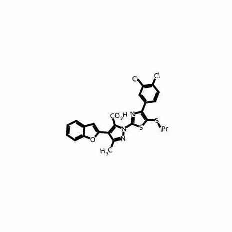 Cc1nn(-c2nc(-c3ccc(Cl)c(Cl)c3)c(SC(C)C)s2)c(C(=O)O)c1-c1cc2ccccc2o1